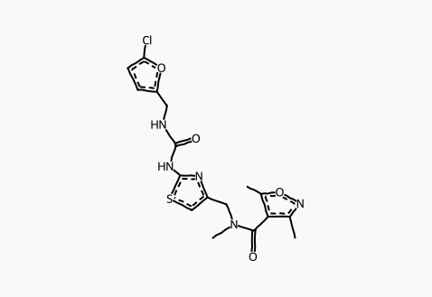 Cc1noc(C)c1C(=O)N(C)Cc1csc(NC(=O)NCc2ccc(Cl)o2)n1